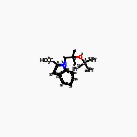 CC(C)[Si](OC(C)(C)Cn1c(C(=O)O)cc2ccccc21)(C(C)C)C(C)C